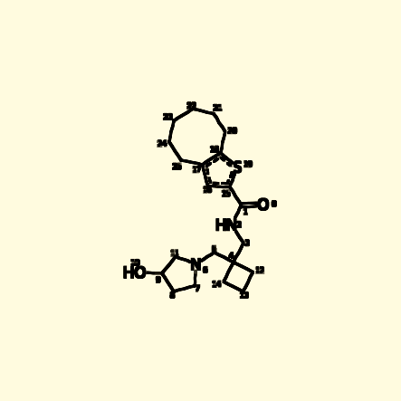 O=C(NCC1(CN2CCC(O)C2)CCC1)c1cc2c(s1)CCCCCC2